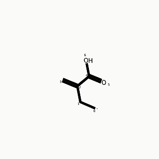 [CH2]CC(=C)C(=O)O